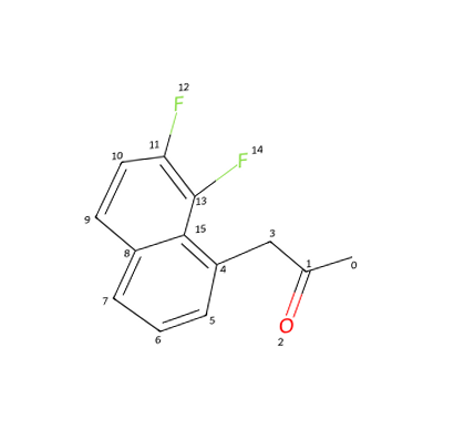 CC(=O)Cc1cccc2ccc(F)c(F)c12